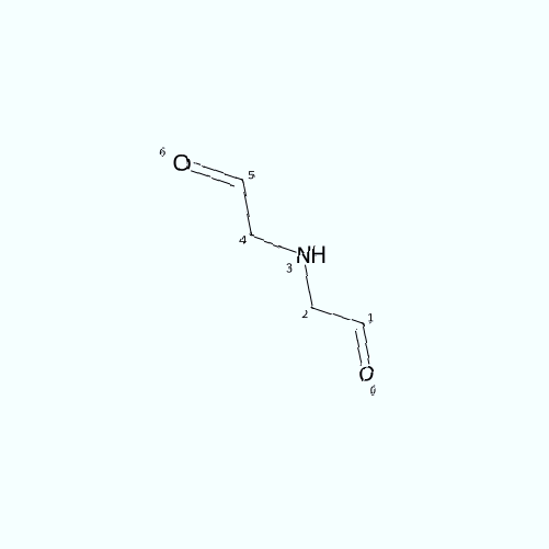 O=[C]CNCC=O